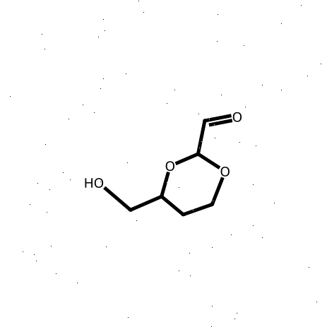 O=CC1OCCC(CO)O1